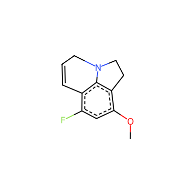 COc1cc(F)c2c3c1CCN3CC=C2